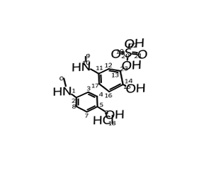 CNc1ccc(O)cc1.CNc1ccc(O)cc1.Cl.O=S(=O)(O)O